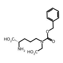 N[C@@H](CCCN(CC(=O)O)C(=O)OCc1ccccc1)C(=O)O